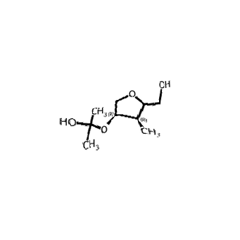 C[C@@H]1C(CO)OC[C@@H]1OC(C)(C)O